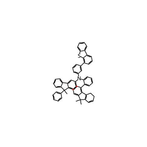 CC1(C)C2=C(CCC=C2)c2c(-c3ccccc3N(c3cccc(-c4cccc5c4sc4ccccc45)c3)c3ccc4c(c3)-c3ccccc3C4(C)c3ccccc3)cccc21